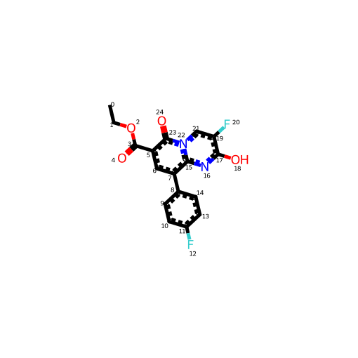 CCOC(=O)c1cc(-c2ccc(F)cc2)c2nc(O)c(F)cn2c1=O